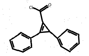 O=C(Cl)C1=C(c2ccccc2)C1c1ccccc1